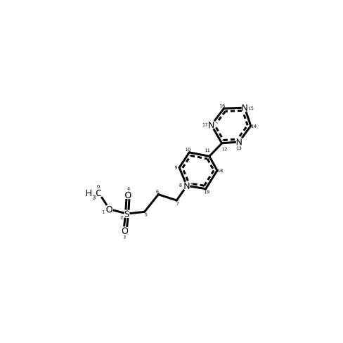 COS(=O)(=O)CCC[n+]1ccc(-c2ncncn2)cc1